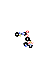 COC1CN(c2nc3ccccc3s2)CC1Oc1cccc(CS(=O)(=O)N2CCCC2c2ccccn2)c1